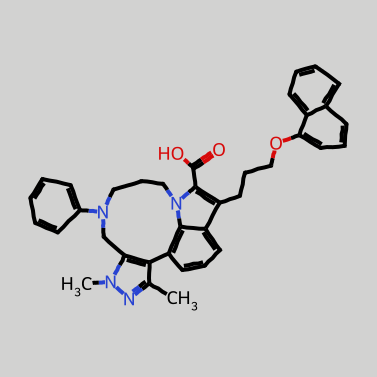 Cc1nn(C)c2c1-c1cccc3c(CCCOc4cccc5ccccc45)c(C(=O)O)n(c13)CCCN(c1ccccc1)C2